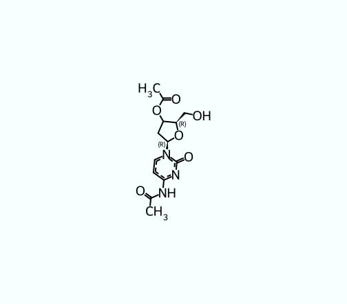 CC(=O)Nc1ccn([C@H]2CC(OC(C)=O)[C@@H](CO)O2)c(=O)n1